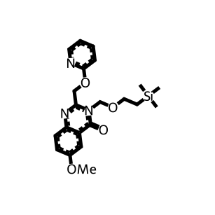 COc1ccc2nc(COc3ccccn3)n(COCC[Si](C)(C)C)c(=O)c2c1